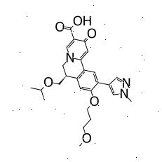 COCCCOc1cc2c(cc1-c1cnn(C)c1)-c1cc(=O)c(C(=O)O)cn1C[C@@H]2COC(C)C